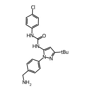 CC(C)(C)c1cc(NC(=O)Nc2ccc(Cl)cc2)n(-c2ccc(CN)cc2)n1